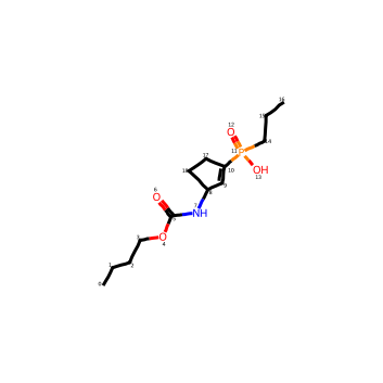 CCCCOC(=O)NC1C=C(P(=O)(O)CCC)CC1